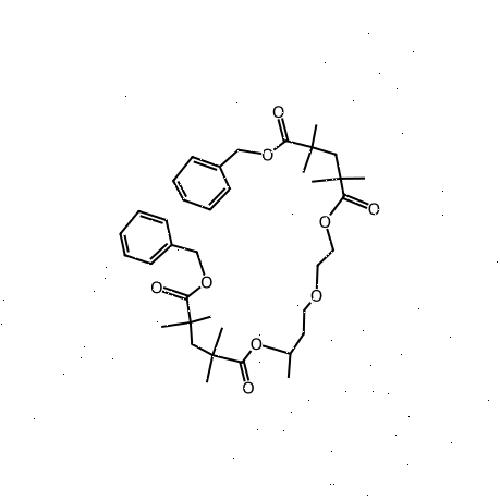 CC(CCOCCOC(=O)C(C)(C)CC(C)(C)C(=O)OCc1ccccc1)OC(=O)C(C)(C)CC(C)(C)C(=O)OCc1ccccc1